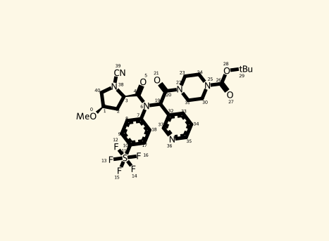 CO[C@@H]1C[C@H](C(=O)N(c2ccc(S(F)(F)(F)(F)F)cc2)C(C(=O)N2CCN(C(=O)OC(C)(C)C)CC2)c2cccnc2)N(C#N)C1